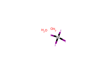 O.O.[I][Hf]([I])([I])[I]